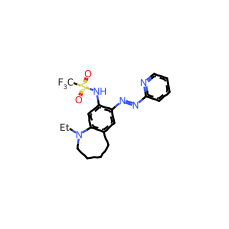 CCN1CCCCc2cc(N=Nc3ccccn3)c(NS(=O)(=O)C(F)(F)F)cc21